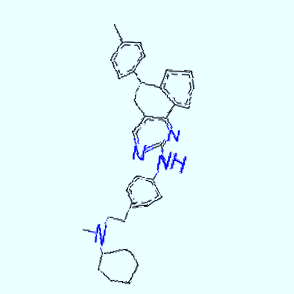 Cc1ccc(C2Cc3cnc(Nc4ccc(CCN(C)C5CCCCC5)cc4)nc3-c3ccccc32)cc1